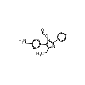 CCc1nc(-c2ccccc2)n(OC=O)c1-c1ccc(CN)cc1